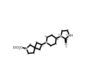 CCOC(=O)N1CCC2(CC(N3CCC(N4CCNC4=O)CC3)C2)C1